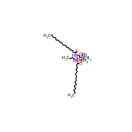 CCCCCCCCCCCCCCCC(=O)NC(O)C([N+](C)(C)C)P(=O)(NC(=O)CCCCCCCCCCCCCCC)OCCCC